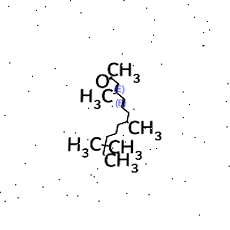 CCC(C)(C)CCCC(C)C/C=C/C(C)=C/C(C)=O